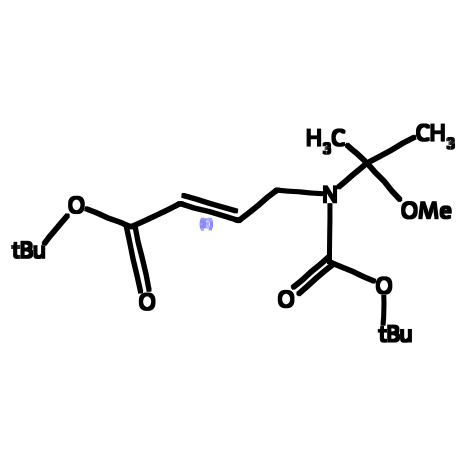 COC(C)(C)N(C/C=C/C(=O)OC(C)(C)C)C(=O)OC(C)(C)C